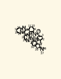 Cc1ccc(C(=O)Nc2cccc(-c3nc4ccccn4c3-c3ccnc(Nc4ccc5c(c4)CC(N(C)C)C5)n3)c2)s1